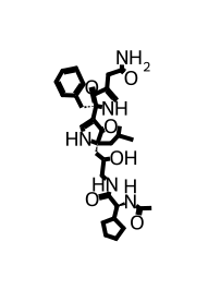 CC(=O)N[C@H](C(=O)NCC(O)C[C@]1(CC(C)C)NC=C([C@]2(Cc3ccccc3)NC=C(CC(N)=O)C2=O)C1=O)C1CCCC1